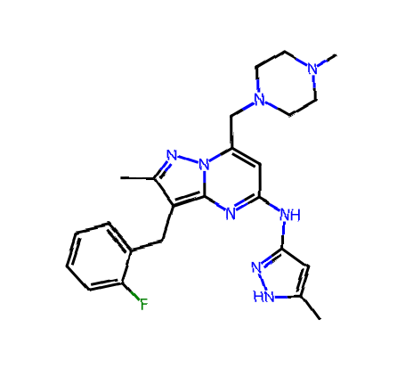 Cc1cc(Nc2cc(CN3CCN(C)CC3)n3nc(C)c(Cc4ccccc4F)c3n2)n[nH]1